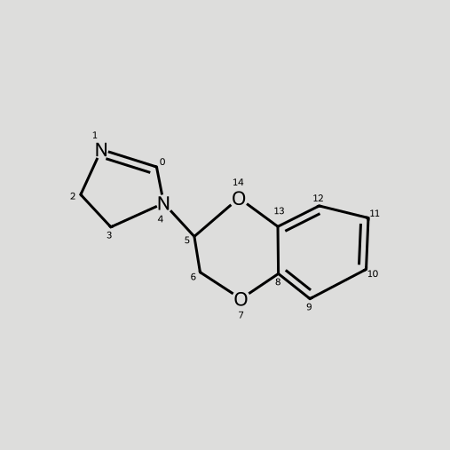 C1=NCCN1C1COc2ccccc2O1